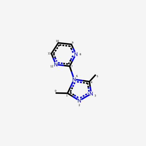 Cc1nnc(C)n1-c1ncccn1